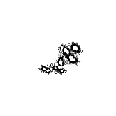 CC1(C)c2cc(-c3ccc(-c4c5ccccc5c(-c5ccccc5)c5ccccc45)cc3)c3c(oc4ccccc43)c2-c2ccc3ccccc3c21